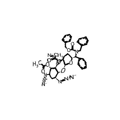 CC(=O)O[C@@H]1[C@@H](OC(C)=O)[C@H](N=[N+]=[N-])C[C@H](N=[N+]=[N-])[C@H]1O[C@H]1O[C@H](C(c2ccccc2)N(Cc2ccccc2)C(=O)OCc2ccccc2)CCC1N=[N+]=[N-]